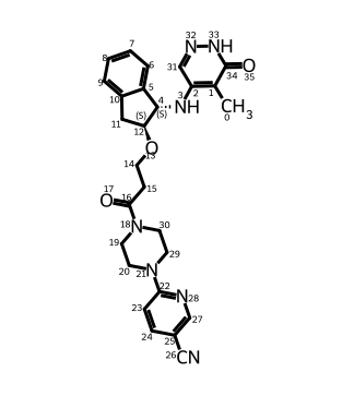 Cc1c(N[C@H]2c3ccccc3C[C@@H]2OCCC(=O)N2CCN(c3ccc(C#N)cn3)CC2)cn[nH]c1=O